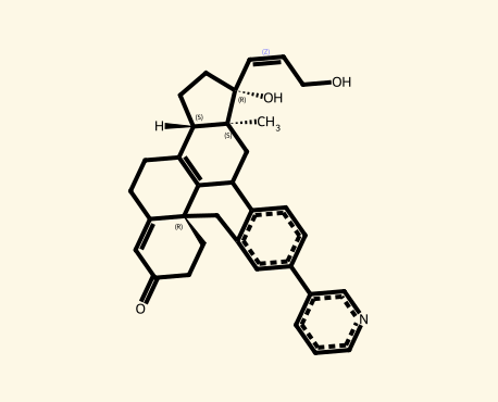 C[C@]12CC3C4=C(CCC5=CC(=O)CC[C@@]54Cc4cc(-c5cccnc5)ccc43)[C@@H]1CC[C@@]2(O)/C=C\CO